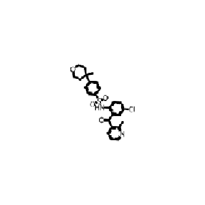 Cc1ncccc1C(=O)c1cc(Cl)ccc1NS(=O)(=O)c1ccc(C2(C)CCOCC2)cc1